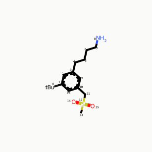 CC(C)(C)c1cc(CCCCN)cc(CS(C)(=O)=O)c1